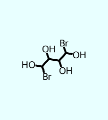 OC(Br)C(O)C(O)C(O)Br